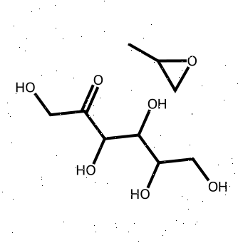 CC1CO1.O=C(CO)C(O)C(O)C(O)CO